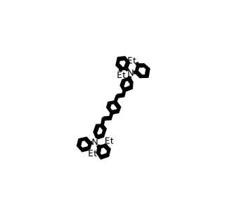 CCc1ccccc1N(c1ccc(C=Cc2ccc(C=Cc3ccc(N(c4ccccc4CC)c4ccccc4CC)cc3)cc2)cc1)c1ccccc1CC